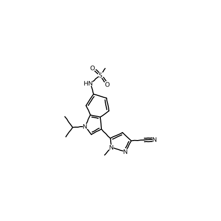 CC(C)n1cc(-c2cc(C#N)nn2C)c2ccc(NS(C)(=O)=O)cc21